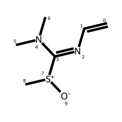 C=C/N=C(\N(C)C)[S+](C)[O-]